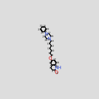 O=C1CCc2cc(OCCCCCCCN3CCN(c4ccccc4)CC3)ccc2N1